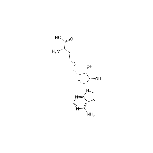 Nc1ncnc2c1ncn2[C@@H]1O[C@H](CSCCC(N)C(=O)O)[C@H](O)[C@H]1O